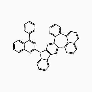 c1ccc(-c2nc(-n3c4ccccc4c4cc5c(cc43)-c3ccccc3-c3cccc4cccc-5c34)nc3ccccc23)cc1